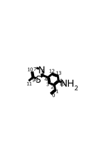 C=Cc1cc(/C(=N/C)SC(=C)C)ccc1N